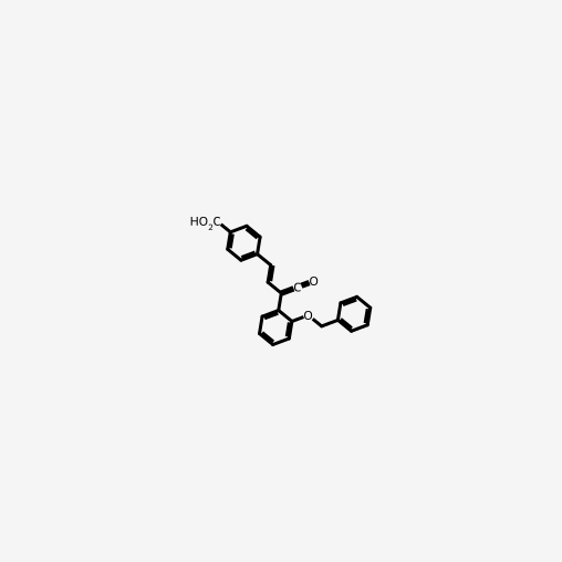 O=C=C(/C=C/c1ccc(C(=O)O)cc1)c1ccccc1OCc1ccccc1